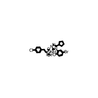 COc1ccc(Br)cc1-n1c(NS(=O)(=O)CCc2ccc(Cl)cc2)nnc1C1CCCC1